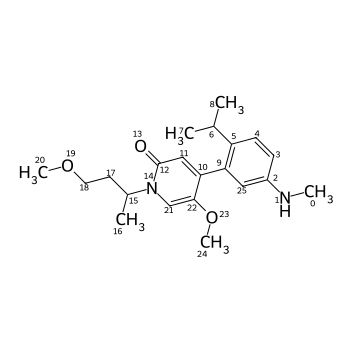 CNc1ccc(C(C)C)c(-c2cc(=O)n(C(C)CCOC)cc2OC)c1